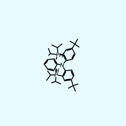 CC(C)[PH](C)(c1cc(C(C)(C)C)ccc1N(c1ccccc1)c1ccc(C(C)(C)C)cc1[PH](C)(C(C)C)C(C)C)C(C)C